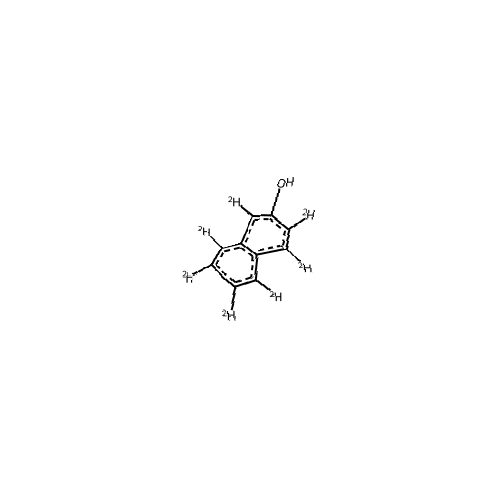 [2H]c1c([2H])c([2H])c2c([2H])c(O)c([2H])c([2H])c2c1[2H]